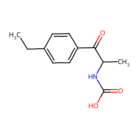 CCc1ccc(C(=O)C(C)NC(=O)O)cc1